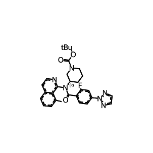 Cc1cccc2ccnc(N(C(=O)c3ccc(-n4nccn4)cc3F)[C@@H]3CCCN(C(=O)OC(C)(C)C)C3)c12